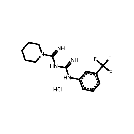 Cl.N=C(NC(=N)N1CCCCC1)Nc1cccc(C(F)(F)F)c1